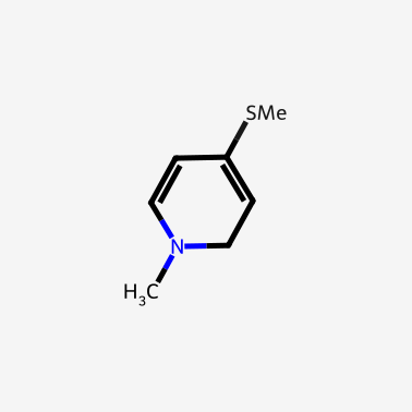 [CH2]SC1=CCN(C)C=C1